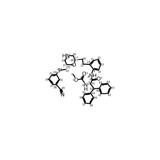 COC(=O)N[C@H](C(=O)Nc1ccccc1CC[C@@H]1CNC[C@@H](CSc2cccc(C#N)c2)O1)C(c1ccccc1)c1ccccc1